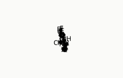 FC(F)(F)Oc1ccc(Nc2nc(Cl)nc3c2ncn3C2CCCC2)cc1